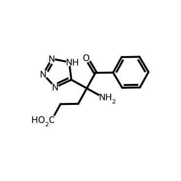 NC(CCC(=O)O)(C(=O)c1ccccc1)c1nnn[nH]1